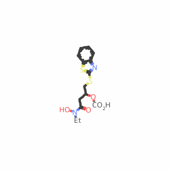 CCN(O)C(=O)CC(CSc1nc2ccccc2s1)OC(=O)O